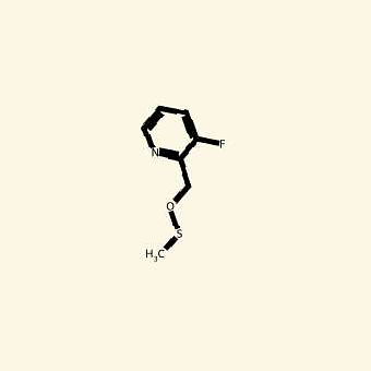 CSOCc1ncccc1F